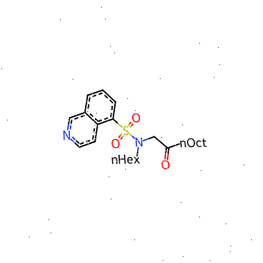 CCCCCCCCC(=O)CN(CCCCCC)S(=O)(=O)c1cccc2cnccc12